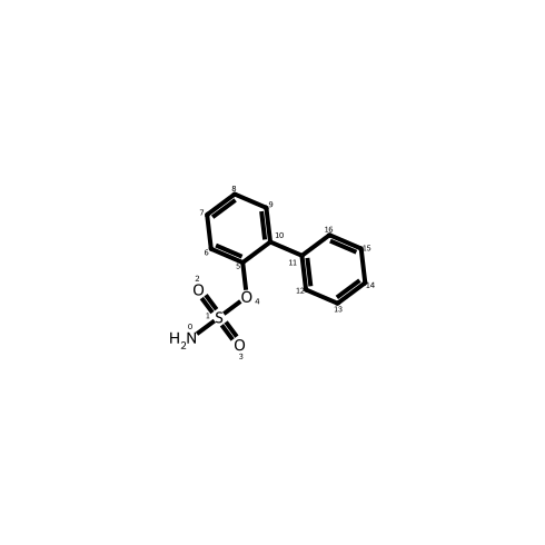 NS(=O)(=O)Oc1ccccc1-c1ccccc1